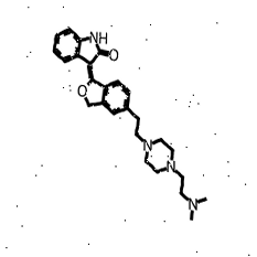 CN(C)CCN1CCN(CCc2ccc3c(c2)CO/C3=C2/C(=O)Nc3ccccc32)CC1